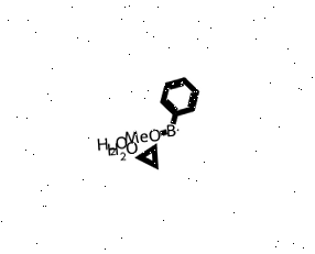 C1CC1.CO[B]c1ccccc1.O.O